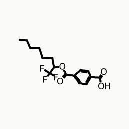 CCCCCCC(OC(=O)c1ccc(C(=O)O)cc1)C(F)(F)F